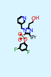 CC(C)c1nc(CCO)n(Cc2cccnc2)c1S(=O)(=O)Oc1cc(F)cc(F)c1